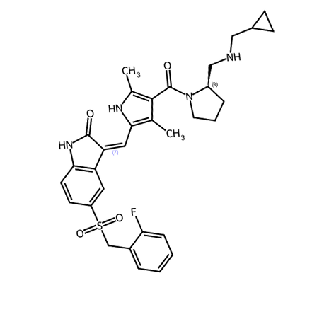 Cc1[nH]c(/C=C2\C(=O)Nc3ccc(S(=O)(=O)Cc4ccccc4F)cc32)c(C)c1C(=O)N1CCC[C@@H]1CNCC1CC1